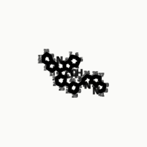 CC1(C)c2ccccc2-c2nc3c(ccc4ccccc43)c(-c3cccc(-c4cccc(-c5ccc6ccc7cccnc7c6n5)c4)c3)c21